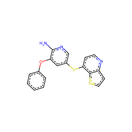 Nc1ncc(Sc2ccnc3ccsc23)cc1Oc1ccccc1